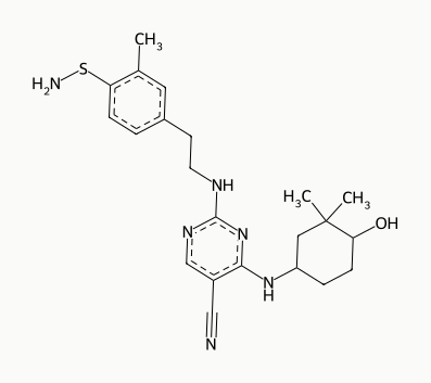 Cc1cc(CCNc2ncc(C#N)c(NC3CCC(O)C(C)(C)C3)n2)ccc1SN